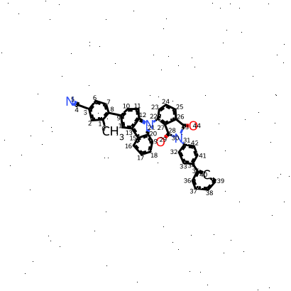 Cc1cc(C#N)ccc1-c1ccc2c(c1)c1ccccc1n2-c1cccc2c1C(=O)N(c1ccc(-c3ccccc3)cc1)C2=O